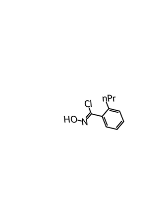 CCCc1ccccc1C(Cl)=NO